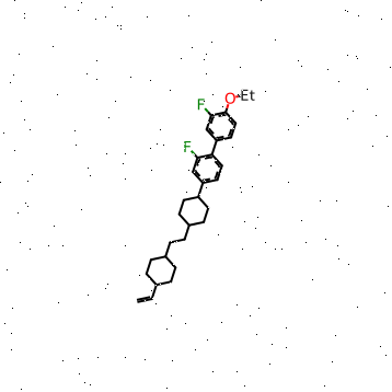 C=CC1CCC(CCC2CCC(c3ccc(-c4ccc(OCC)c(F)c4)c(F)c3)CC2)CC1